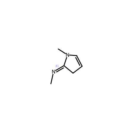 C/N=C1\CC=CN1C